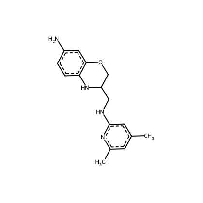 Cc1cc(C)nc(NCC2COc3cc(N)ccc3N2)c1